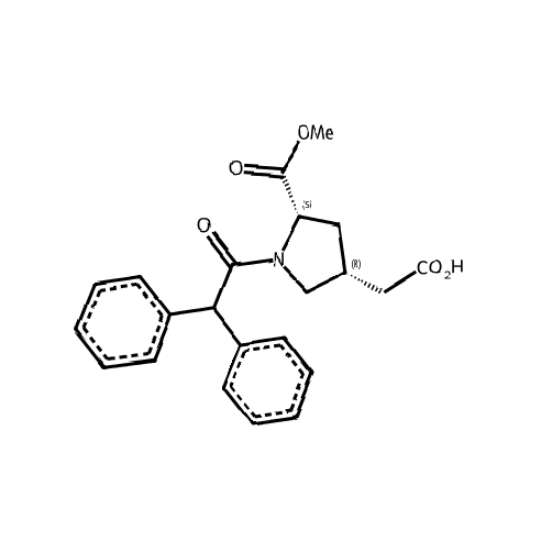 COC(=O)[C@@H]1C[C@H](CC(=O)O)CN1C(=O)C(c1ccccc1)c1ccccc1